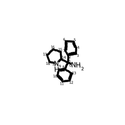 NC(c1ccccc1)(c1ccccc1)C1CCCCN1